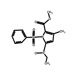 CC[S+]([O-])c1cc(C)c(C(=O)OC)n1S(=O)(=O)c1ccccc1